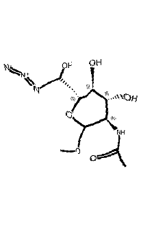 COC1O[C@H](C(O)N=[N+]=[N-])[C@@H](O)[C@H](O)[C@H]1NC(C)=O